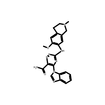 COc1cc2c(cc1Nc1nnc(C(N)=O)c(-n3cnc4ccccc43)n1)CN(C)CC2